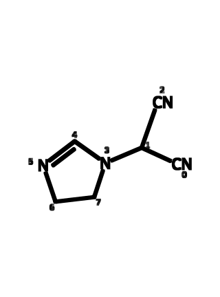 N#CC(C#N)N1C=NCC1